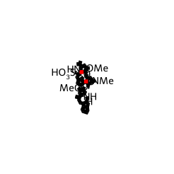 C=C(C)c1cc(OC)c(OCc2cc(COc3cc4c(cc3OC)C(=C)CCC3c5ccccc5C[C@H]3CN4)cc(NC)c2)cc1NC(C(C)Cc1ccccc1C)S(=O)(=O)O